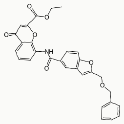 CCOC(=O)c1cc(=O)c2cccc(NC(=O)c3ccc4oc(COCc5ccccc5)cc4c3)c2o1